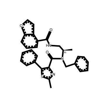 Cc1nc(C(=O)N(Cc2ccccc2)[C@H](C)CNC(=O)c2cccc3occc23)c(-c2ccccc2)s1